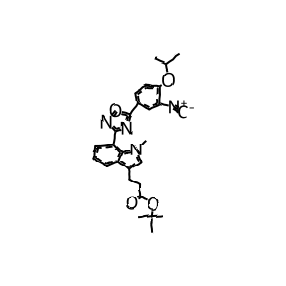 [C-]#[N+]c1cc(-c2nc(-c3cccc4c(CCC(=O)OC(C)(C)C)cn(C)c34)no2)ccc1OC(C)C